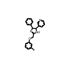 Fc1cccc(OCC2=NC(c3ccccc3)C(c3cccnc3)N2)c1